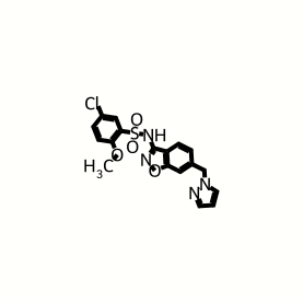 COc1ccc(Cl)cc1S(=O)(=O)Nc1noc2cc(Cn3cccn3)ccc12